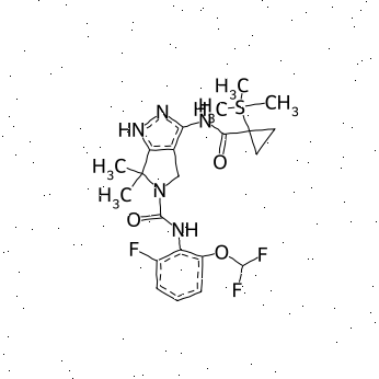 CC1(C)c2[nH]nc(NC(=O)C3(S(C)(C)C)CC3)c2CN1C(=O)Nc1c(F)cccc1OC(F)F